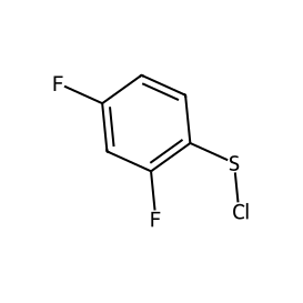 Fc1ccc(SCl)c(F)c1